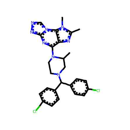 Cc1nc2c(N3CCN(C(c4ccc(Cl)cc4)c4ccc(Cl)cc4)CC3C)nc3nncn3c2n1C